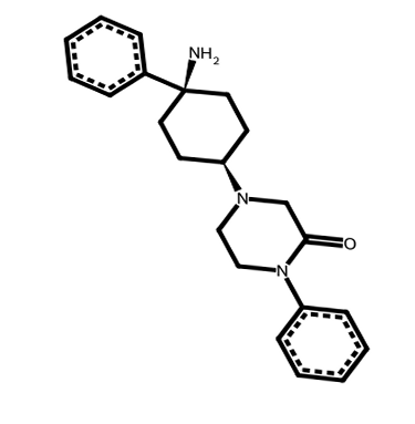 N[C@]1(c2ccccc2)CC[C@H](N2CCN(c3ccccc3)C(=O)C2)CC1